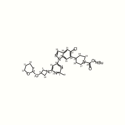 Cc1nc(N2CC(OC3CCCCO3)C2)cc(-n2ncc3cc(Cl)c(C4CCN(C(=O)OC(C)(C)C)CC4)cc32)n1